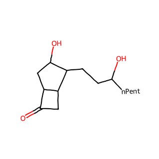 CCCCCC(O)CCC1C(O)CC2C(=O)CC21